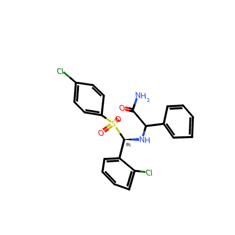 NC(=O)C(N[C@@H](c1ccccc1Cl)S(=O)(=O)c1ccc(Cl)cc1)c1ccccc1